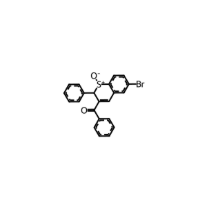 O=C(C1=Cc2cc(Br)ccc2[S+]([O-])C1c1ccccc1)c1ccccc1